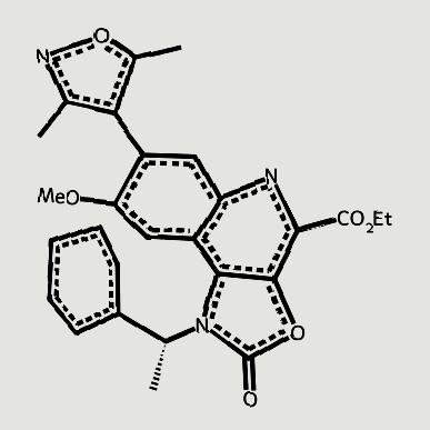 CCOC(=O)c1nc2cc(-c3c(C)noc3C)c(OC)cc2c2c1oc(=O)n2[C@H](C)c1ccccc1